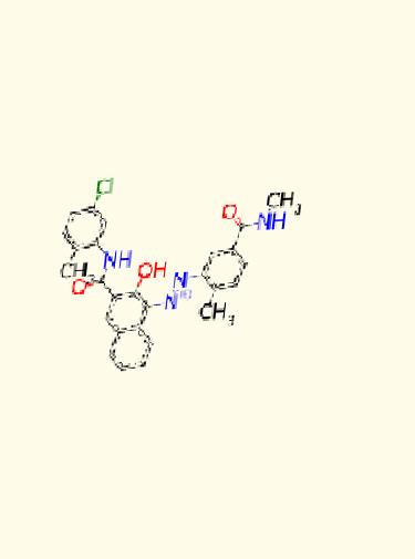 CNC(=O)c1ccc(C)c(/N=N/c2c(O)c(C(=O)Nc3cc(Cl)ccc3C)cc3ccccc23)c1